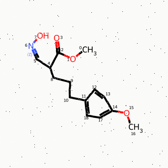 COC(=O)C(/C=N\O)CCCc1ccc(OC)cc1